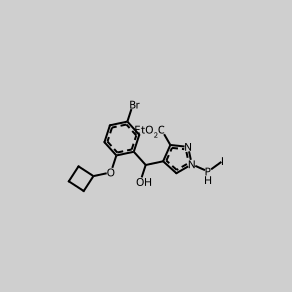 CCOC(=O)c1nn(PI)cc1C(O)c1cc(Br)ccc1OC1CCC1